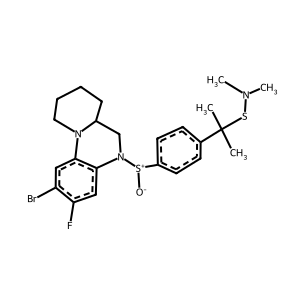 CN(C)SC(C)(C)c1ccc([S+]([O-])N2CC3CCCCN3c3cc(Br)c(F)cc32)cc1